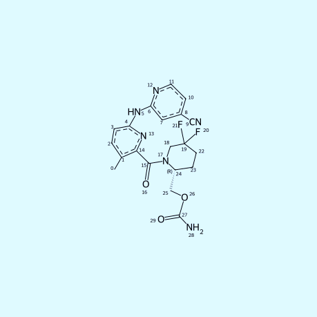 Cc1ccc(Nc2cc(C#N)ccn2)nc1C(=O)N1CC(F)(F)CC[C@@H]1COC(N)=O